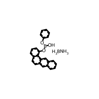 B.N.OB(Oc1ccccc1)Oc1cccc2ccc3cc4ccccc4cc3c12